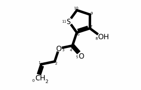 C=CCOC(=O)C1=C(O)CCS1